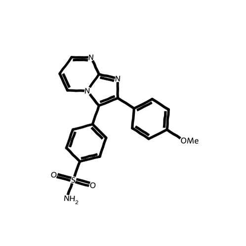 COc1ccc(-c2nc3ncccn3c2-c2ccc(S(N)(=O)=O)cc2)cc1